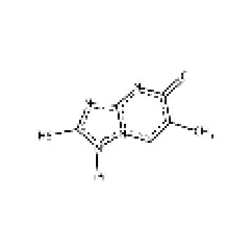 Cc1cn2c(nc(S)n2C(C)C)nc1=O